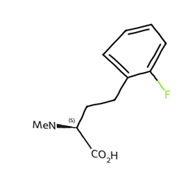 CN[C@@H](CCc1ccccc1F)C(=O)O